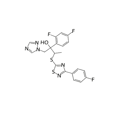 CC(Sc1nc(-c2ccc(F)cc2)ns1)C(O)(Cn1cncn1)c1ccc(F)cc1F